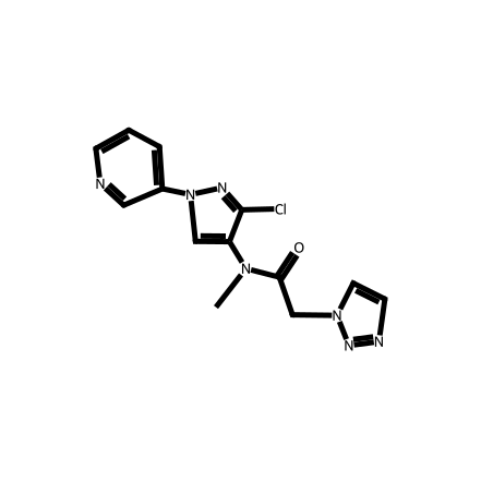 CN(C(=O)Cn1ccnn1)c1cn(-c2cccnc2)nc1Cl